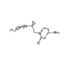 CN(O)C(=O)Cn1ccc(C(C)(C)C)cc1=O